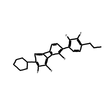 CCCc1ccc(-c2ccc3c(c2F)-c2c-3cc(C3CCCCC3)c(F)c2F)c(F)c1F